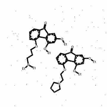 CCOc1cc(OCC)c2c(c1)C(=O)c1cccc(OCCCN(CC)CC)c1-2.CCOc1cc(OCC)c2c(c1)C(=O)c1cccc(OCCN3CCCC3)c1-2